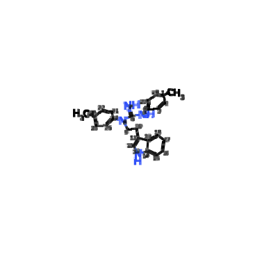 Cc1ccc(NC(=N)N(CCc2c[nH]c3ccccc23)c2ccc(C)cc2)cc1